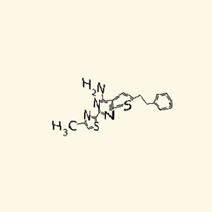 Cc1csc(-c2nc(N)c3cc(CCc4ccccc4)sc3n2)n1